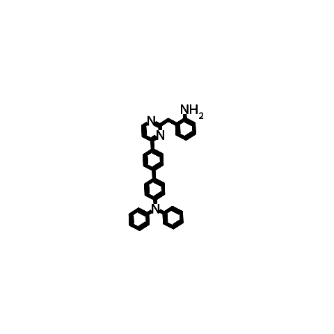 Nc1ccccc1Cc1nccc(-c2ccc(-c3ccc(N(c4ccccc4)c4ccccc4)cc3)cc2)n1